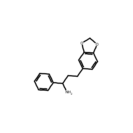 NC(CCc1ccc2c(c1)OCO2)c1ccccc1